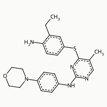 CCc1cc(Sc2nc(Nc3ccc(N4CCOCC4)cc3)ncc2C)ccc1N